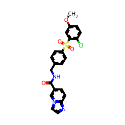 COc1ccc(Cl)c(S(=O)(=O)c2ccc(CNC(=O)c3ccc4nccn4c3)cc2)c1